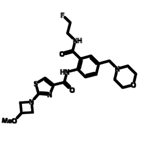 COC1CN(c2nc(C(=O)Nc3ccc(CN4CCOCC4)cc3C(=O)NCCF)cs2)C1